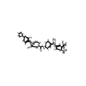 O=C(COC1CCC(Nc2ccc([N+](=O)[O-])c(C(F)(F)F)c2)CC1)N1CCN(c2ccc(-c3ccccc3)cc2)CC1